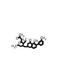 CCCC(CC1CC(=O)c2c(ccc(-c3cccc(C)c3)c2C)C1)C(CC)C(=O)CC(C)=O